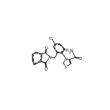 NC(=O)C1=CSCN1c1ccc(Cl)cc1CN1C(=O)c2ccccc2C1=O